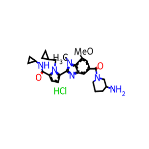 COc1cc(C(=O)N2CCCC(N)C2)cc2nc(-c3ccc(C(=O)NC4CC4)n3CC3CC3)n(C)c12.Cl